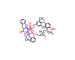 CCCOC(=O)C(Cc1ccccc1)NN(NC(Cc1ccccc1)C(=O)OCCC)P(=O)(O)COc1cc(C)c(Cc2ccc(O)c(C(C)C)c2)c(C)c1